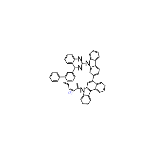 C=C/C=C\C(=C)n1c2ccccc2c2c3ccccc3c(-c3ccc4c5ccccc5n(-c5nc(-c6cccc(-c7ccccc7)c6)c6ccccc6n5)c4c3)cc21